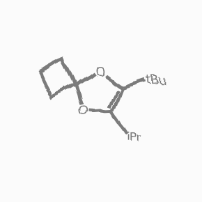 CC(C)C1=C(C(C)(C)C)OC2(CCC2)O1